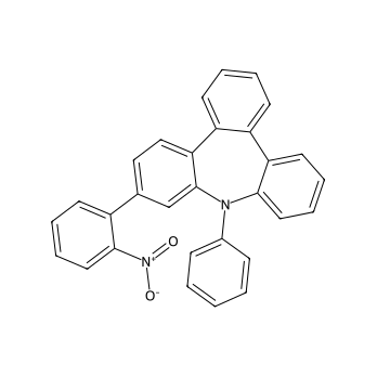 O=[N+]([O-])c1ccccc1-c1ccc2c(c1)N(c1ccccc1)c1ccccc1-c1ccccc1-2